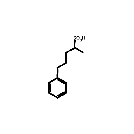 C[C@@H](CCCc1ccccc1)S(=O)(=O)O